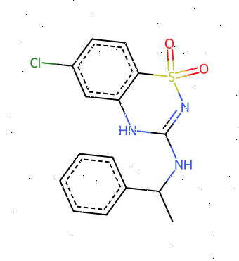 CC(NC1=NS(=O)(=O)c2ccc(Cl)cc2N1)c1ccccc1